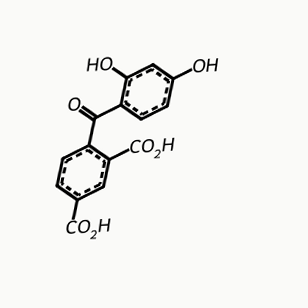 O=C(O)c1ccc(C(=O)c2ccc(O)cc2O)c(C(=O)O)c1